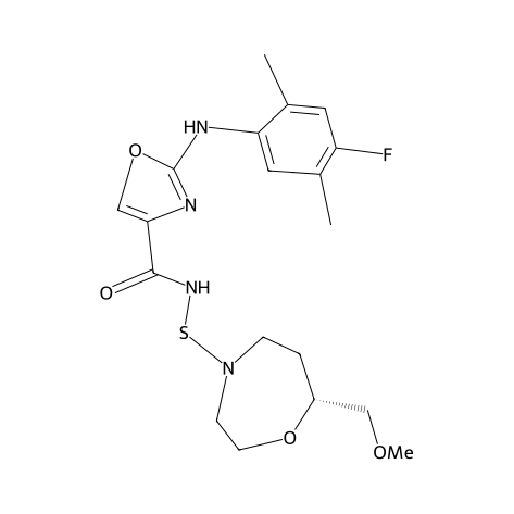 COC[C@H]1CCN(SNC(=O)c2coc(Nc3cc(C)c(F)cc3C)n2)CCO1